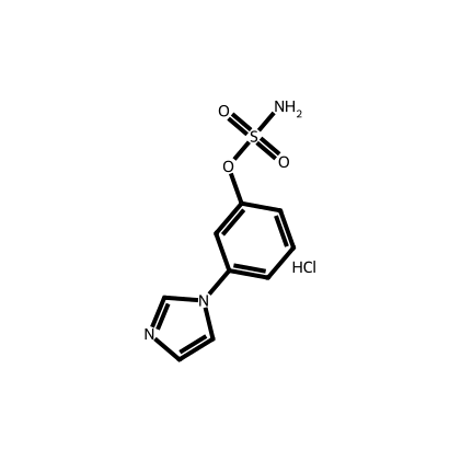 Cl.NS(=O)(=O)Oc1cccc(-n2ccnc2)c1